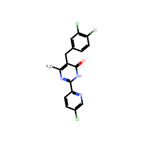 O=c1[nH]c(-c2ccc(Cl)cn2)nc(C(F)(F)F)c1Cc1ccc(Cl)c(Cl)c1